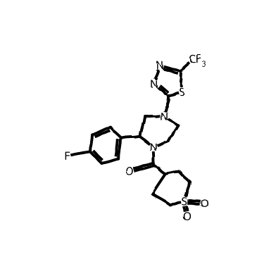 O=C(C1CCS(=O)(=O)CC1)N1CCN(c2nnc(C(F)(F)F)s2)CC1c1ccc(F)cc1